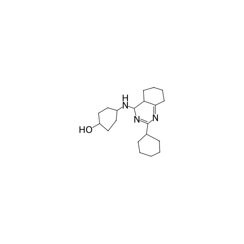 OC1CCC(NC2N=C(C3CCCCC3)N=C3CCCCC32)CC1